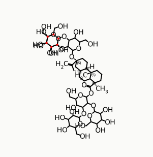 C=C1C[C@@]23CCC4[C@](C)(C(=O)OC5OC(CO)C(O)C(OC6OC(CO)C(O)C(O)C6O)C5OC5OC(CO)C(O)C(O)C5O)CCC[C@@]4(C)[C@@H]2CC[C@]1(OC1OC(CO)C(O)C(OC2OC(CO)C(O)C(O)C2O)C1OC1OC(CO)C(O)C(O)C1O)C3